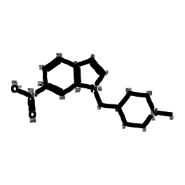 CN1CCC(Cn2ccc3ccc([N+](=O)[O-])cc32)CC1